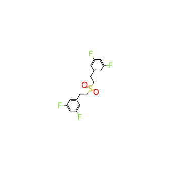 O=S(=O)(CCc1cc(F)cc(F)c1)CCc1cc(F)cc(F)c1